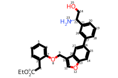 CCOC(=O)Cc1ccccc1OCc1coc2ccc(-c3cccc([C@H](N)CO)c3)cc12